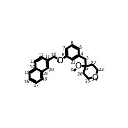 COC1(Cc2cccc(OCc3ccc4ccccc4c3)c2)CCOCC1